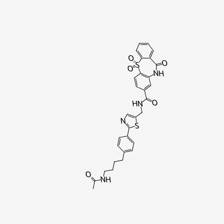 CC(=O)NCCCCc1ccc(-c2ncc(CNC(=O)c3ccc4c(c3)NC(=O)c3ccccc3S4(=O)=O)s2)cc1